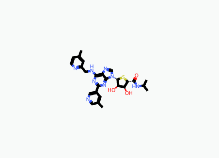 Cc1cncc(-c2nc(NCc3cc(C)ccn3)c3ncn([C@@H]4S[C@H](C(=O)NC(C)C)[C@@H](O)[C@H]4O)c3n2)c1